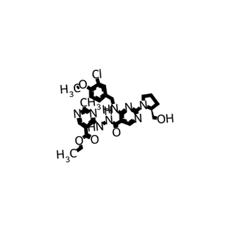 CCOC(=O)c1cnc(C)nc1NNC(=O)c1cnc(N2CCC[C@H]2CO)nc1NCc1ccc(OC)c(Cl)c1